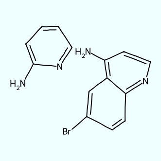 Nc1ccccn1.Nc1ccnc2ccc(Br)cc12